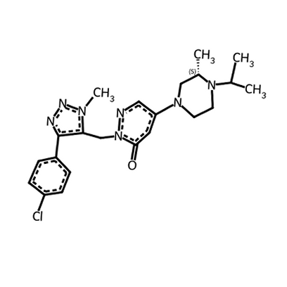 CC(C)N1CCN(c2cnn(Cc3c(-c4ccc(Cl)cc4)nnn3C)c(=O)c2)C[C@@H]1C